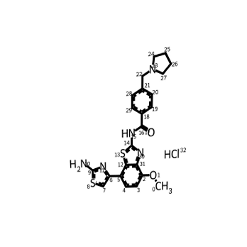 COc1ccc(-c2csc(N)n2)c2sc(NC(=O)c3ccc(CN4CCCC4)cc3)nc12.Cl